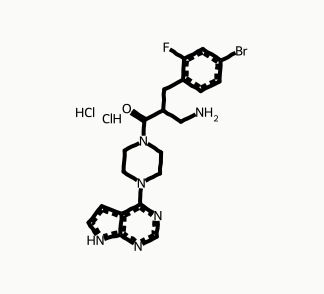 Cl.Cl.NCC(Cc1ccc(Br)cc1F)C(=O)N1CCN(c2ncnc3[nH]ccc23)CC1